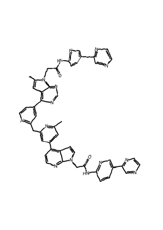 Cc1cc(-c2ccnc3c2ccn3CC(=O)Nc2ccc(-c3cnccn3)cn2)cc(Cc2cc(-c3ncnc4c3cc(C)n4CC(=O)Nc3ccc(-c4cnccn4)cn3)ccn2)n1